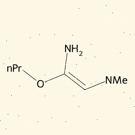 CCCO/C(N)=C/NC